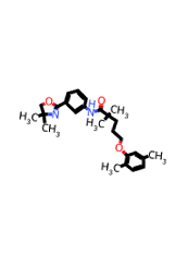 Cc1ccc(C)c(OCCCC(C)(C)C(=O)Nc2cccc(C3=NC(C)(C)CO3)c2)c1